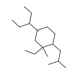 CCC(CC)N1CCC(CC(C)C)C(C)(CC)C1